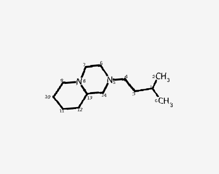 CC(C)CCN1CCN2CCCCC2C1